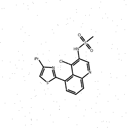 CC(C)c1csc(-c2cccc3n[c]c(NS(C)(=O)=O)c(Cl)c23)n1